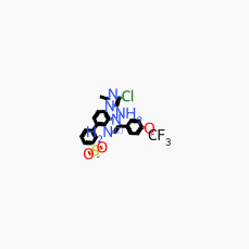 Cc1nc(Cl)cn1-c1ccc(-c2cccc(S(C)(=O)=O)c2)cc1N(N)/C(=C\N)c1ccc(OC(F)(F)F)cc1